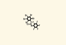 C[CH2][Al]([O]c1c(F)c(F)c(F)c(F)c1F)[O]c1c(Br)c(Br)c(Br)c(Br)c1Br